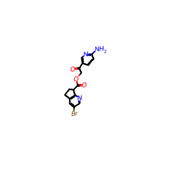 Nc1ccc(C(=O)COC(=O)C2CCc3cc(Br)cnc32)cn1